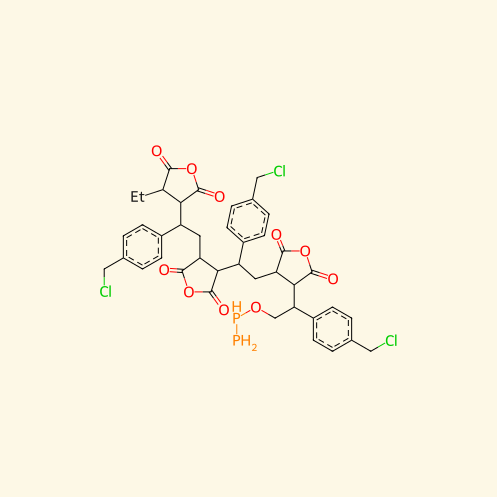 CCC1C(=O)OC(=O)C1C(CC1C(=O)OC(=O)C1C(CC1C(=O)OC(=O)C1C(COPP)c1ccc(CCl)cc1)c1ccc(CCl)cc1)c1ccc(CCl)cc1